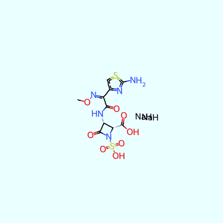 CO/N=C(\C(=O)N[C@H]1C(=O)N(S(=O)(=O)O)[C@H]1C(=O)O)c1csc(N)n1.[NaH].[NaH]